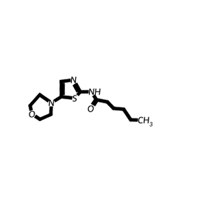 CCCCCC(=O)Nc1ncc(N2CCOCC2)s1